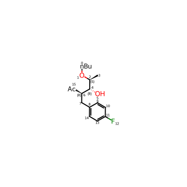 CCCCO[C@@H](C)[C@H](O)[C@@H](Cc1ccc(F)cc1)C(C)=O